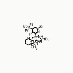 CCS(CC)(CC)c1cc(Br)nc([C@](CF)(CS2(=O)=NCCC[C@]2(C)C#N)N[S+]([O-])C(C)(C)C)c1F